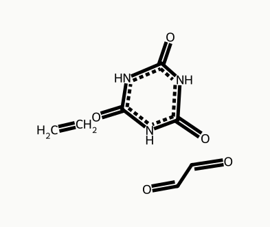 C=C.O=CC=O.O=c1[nH]c(=O)[nH]c(=O)[nH]1